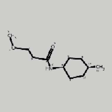 COCCC(=O)N[C@H]1CC[C@@H](C)CC1